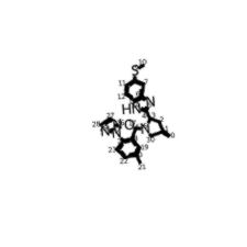 C=C1CC(c2nc3cc(SC)ccc3[nH]2)N(C(=O)c2cc(C)ccc2-n2nccn2)C1